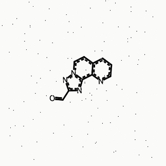 O=Cc1nc2c3ncccc3ccn2n1